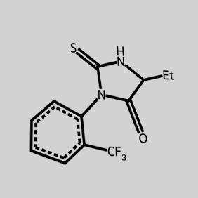 CCC1NC(=S)N(c2ccccc2C(F)(F)F)C1=O